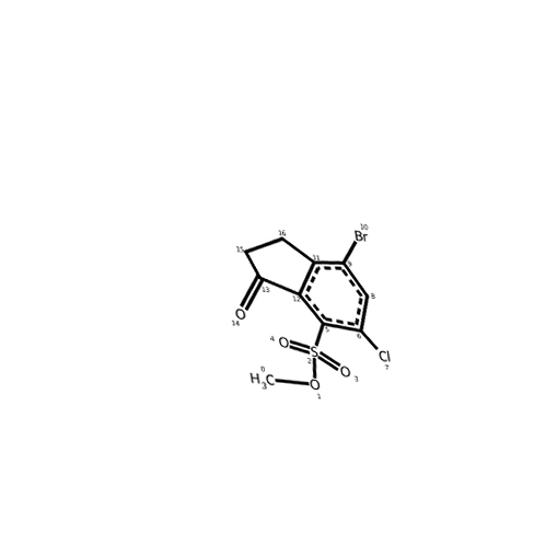 COS(=O)(=O)c1c(Cl)cc(Br)c2c1C(=O)CC2